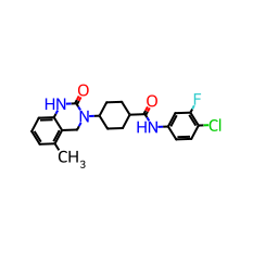 Cc1cccc2c1CN(C1CCC(C(=O)Nc3ccc(Cl)c(F)c3)CC1)C(=O)N2